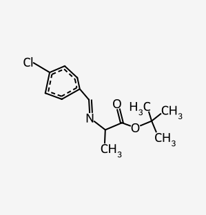 CC(/N=C/c1ccc(Cl)cc1)C(=O)OC(C)(C)C